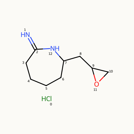 Cl.N=C1CCCCC(CC2CO2)N1